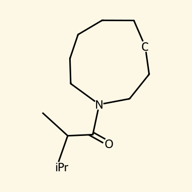 CC(C)C(C)C(=O)N1CCCCCCCC1